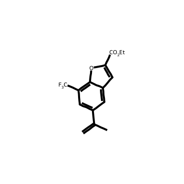 C=C(C)c1cc(C(F)(F)F)c2oc(C(=O)OCC)cc2c1